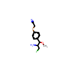 COC(c1ccc(SCC#N)cc1)C(N)CF